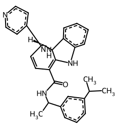 CC(C)c1cccc(C(C)NC(=O)C2=C3Nc4ccccc4C34NCN(c3ccncc3)[C@@H]4C=C2)c1